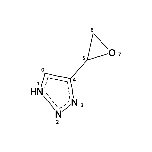 c1[nH]nnc1C1CO1